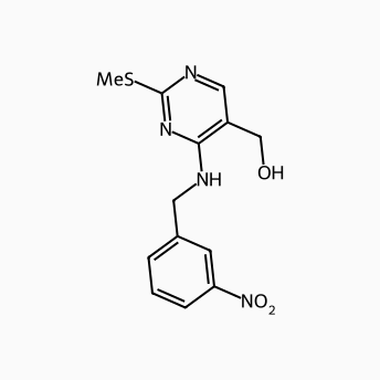 CSc1ncc(CO)c(NCc2cccc([N+](=O)[O-])c2)n1